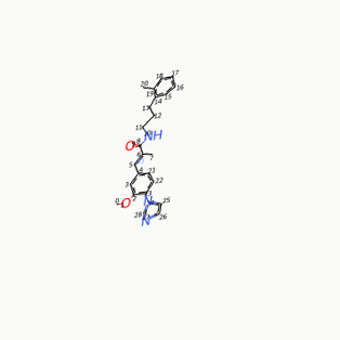 COc1cc(/C=C(\C)C(=O)NCCCc2ccccc2C)ccc1-n1ccnc1